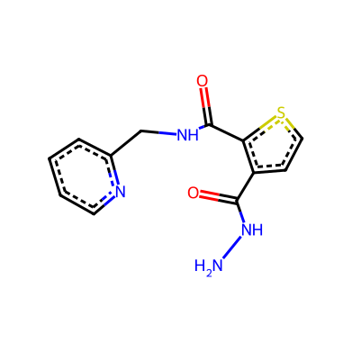 NNC(=O)c1ccsc1C(=O)NCc1ccccn1